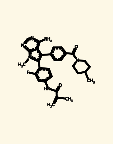 C=C(C)C(=O)Nc1ccc(-c2c(-c3ccc(C(=O)N4CCC(C)CC4)cc3)c3c(N)ncnc3n2C)c(F)c1